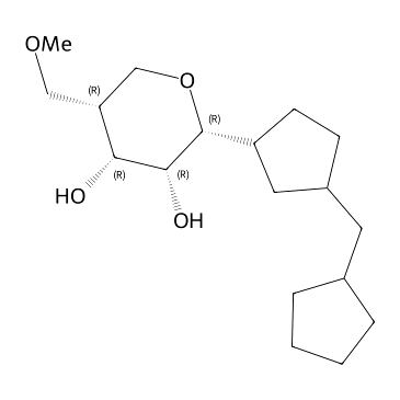 COC[C@@H]1CO[C@H](C2CCC(CC3CCCC3)C2)[C@H](O)[C@@H]1O